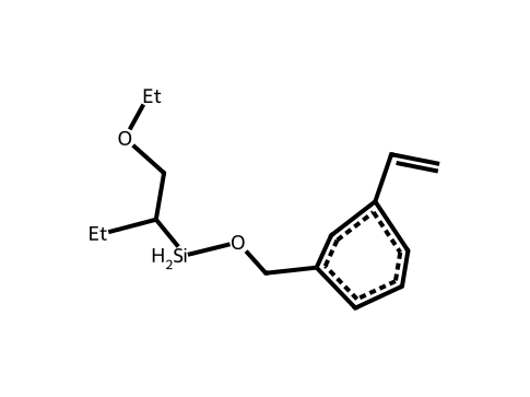 C=Cc1cccc(CO[SiH2]C(CC)COCC)c1